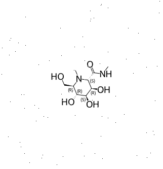 CNC(=O)[C@@H]1[C@@H](O)[C@@H](O)[C@H](O)[C@@H](CO)N1C